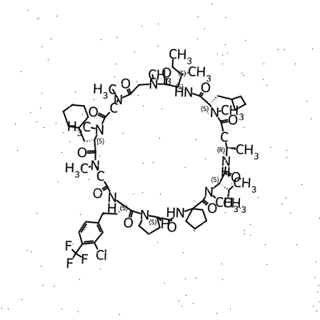 CC[C@H](C)[C@@H]1NC(=O)[C@H](CC2CCC2)N(C)C(=O)C[C@@H](C)NC(=O)[C@H](C(C)C)N(C)C(=O)C2(CCCC2)NC(=O)[C@@H]2CCCN2C(=O)[C@H](CCc2ccc(C(F)(F)F)c(Cl)c2)NC(=O)CN(C)C(=O)[C@H](CC2CCCCC2)N(C)C(=O)CN(C)C(=O)CN(C)C1=O